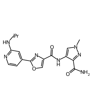 CC(C)Nc1cc(-c2nc(C(=O)Nc3cn(C)nc3C(N)=O)co2)ccn1